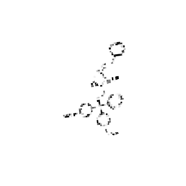 COc1ccc(C(OCC2OC[C@H](OCc3ccccc3)[C@@H]2O)(c2ccccc2)c2ccc(OC)cc2)cc1